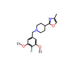 CCOc1cc(CN2CCC(c3nc(C)co3)CC2)cc(OCC)c1F